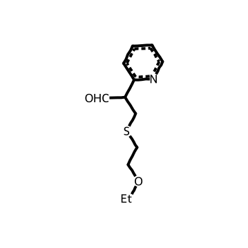 CCOCCSCC(C=O)c1ccccn1